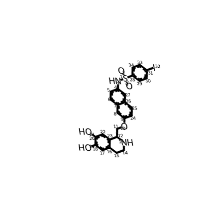 O=S(=O)(Nc1ccc2cc(OCC3NCCc4cc(O)c(O)cc43)ccc2c1)c1ccc(I)cc1